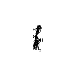 Nc1ccn([C@@H]2O[C@H](COC(=O)CCCCC(=O)Nc3ccccc3)[C@@H](O)C2(F)F)c(=O)n1